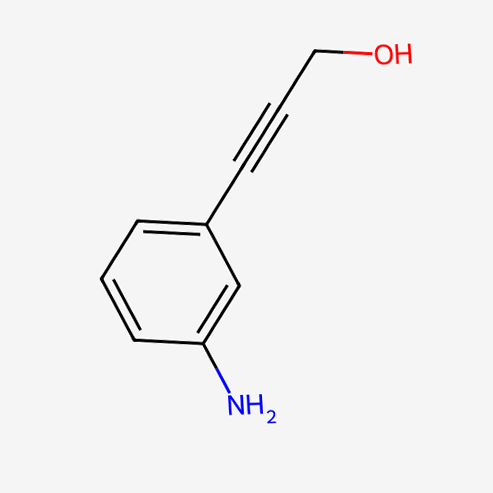 Nc1cccc(C#CCO)c1